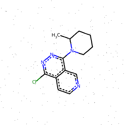 CC1CCCCN1c1nnc(Cl)c2ccncc12